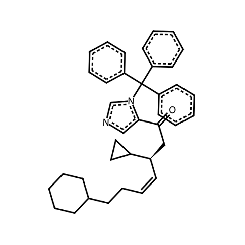 O=C(C[C@@H](/C=C\CCC1CCCCC1)C1CC1)c1cncn1C(c1ccccc1)(c1ccccc1)c1ccccc1